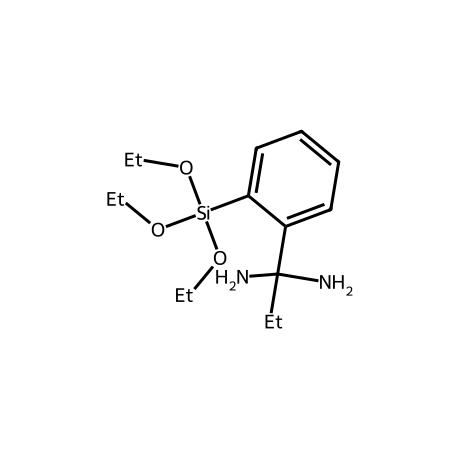 CCO[Si](OCC)(OCC)c1ccccc1C(N)(N)CC